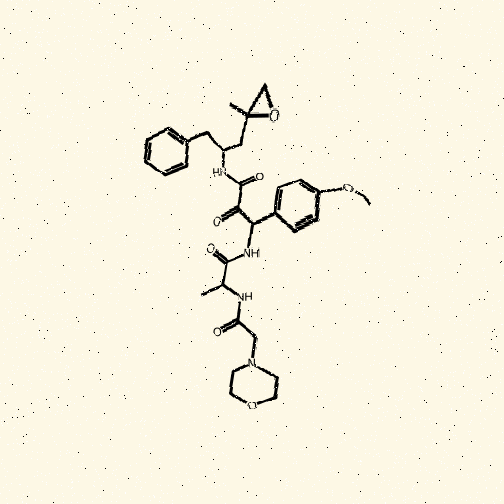 COc1ccc(C(NC(=O)C(C)NC(=O)CN2CCOCC2)C(=O)C(=O)NC(Cc2ccccc2)CC2(C)CO2)cc1